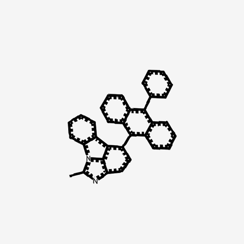 Cc1nc2ccc(-c3c4ccccc4c(-c4ccccc4)c4ccccc34)c3c4ccccc4n1c23